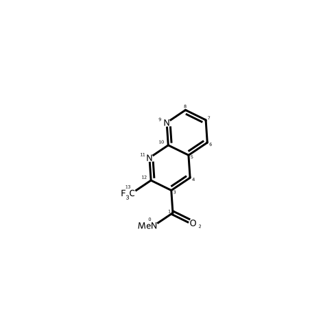 CNC(=O)c1cc2cccnc2nc1C(F)(F)F